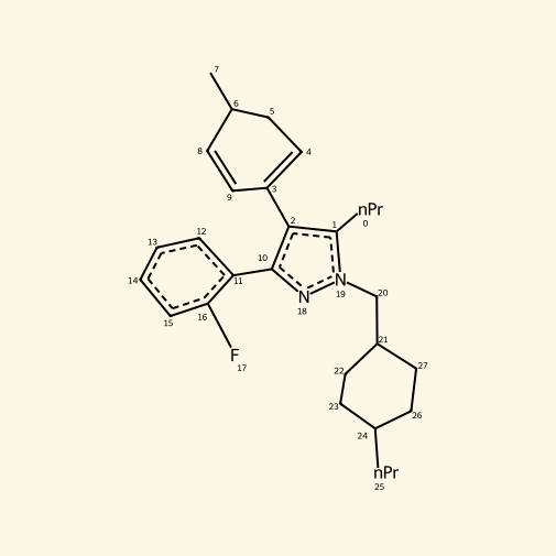 CCCc1c(C2=CCC(C)C=C2)c(-c2ccccc2F)nn1CC1CCC(CCC)CC1